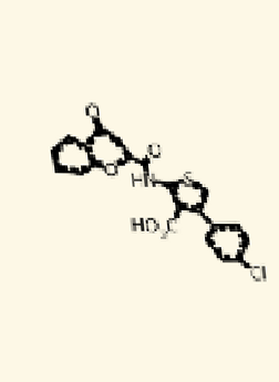 O=C(Nc1scc(-c2ccc(Cl)cc2)c1C(=O)O)c1cc(=O)c2ccccc2o1